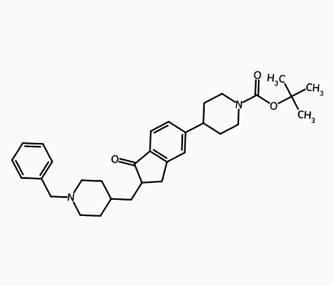 CC(C)(C)OC(=O)N1CCC(c2ccc3c(c2)CC(CC2CCN(Cc4ccccc4)CC2)C3=O)CC1